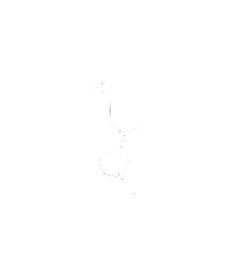 CN(CCC(C)(C)C)C1CCN(C(C)(C)C)C1